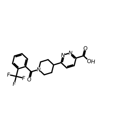 O=C(O)c1ccc(C2CCN(C(=O)c3ccccc3C(F)(F)F)CC2)nn1